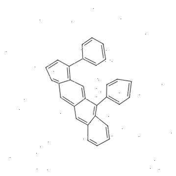 c1ccc(-c2cccc3cc4cc5ccccc5c(-c5ccccc5)c4cc23)cc1